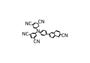 N#CC1=CC(C#N)CC(N(c2ccc(-c3ccc4cc(C#N)ccc4c3)cc2)c2cc(C#N)cc(C#N)c2)=C1